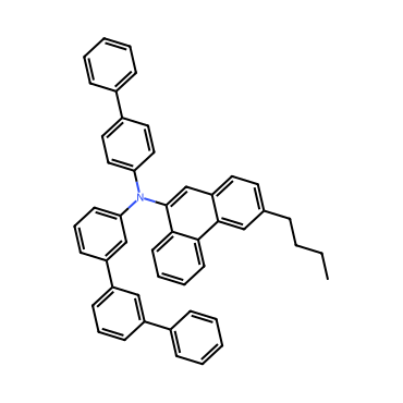 CCCCc1ccc2cc(N(c3ccc(-c4ccccc4)cc3)c3cccc(-c4cccc(-c5ccccc5)c4)c3)c3ccccc3c2c1